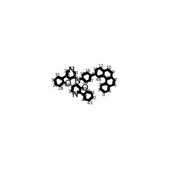 c1ccc2c(c1)ccc1ccc3ccc(-c4ccc(N(c5cncc6c5oc5ccccc56)c5ccnc6c5oc5ccccc56)cc4)cc3c12